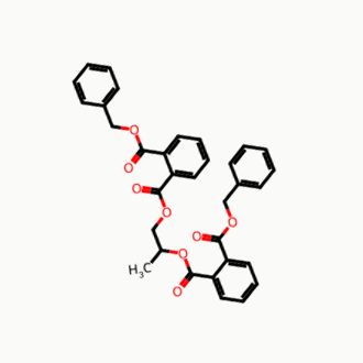 CC(COC(=O)c1ccccc1C(=O)OCc1ccccc1)OC(=O)c1ccccc1C(=O)OCc1ccccc1